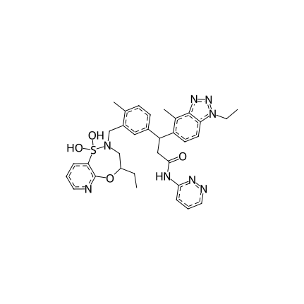 CCC1CN(Cc2cc(C(CC(=O)Nc3cccnn3)c3ccc4c(nnn4CC)c3C)ccc2C)S(O)(O)c2cccnc2O1